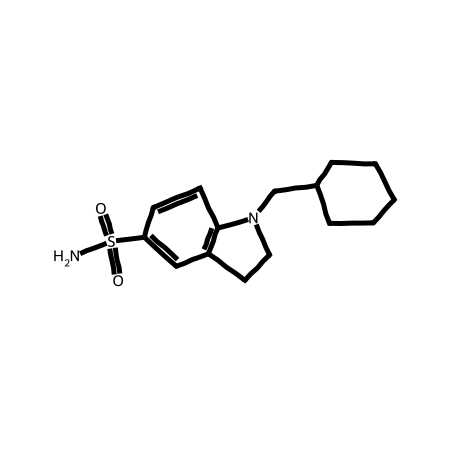 NS(=O)(=O)c1ccc2c(c1)CCN2CC1CCCCC1